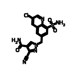 N#Cc1nn(Cc2cc(S(N)(=O)=O)c3ncc(Cl)cc3c2)cc1C(N)=O